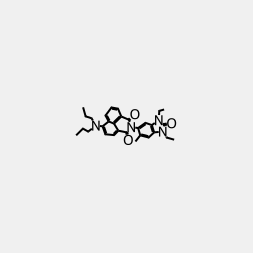 CCCN(CCC)c1ccc2c3c(cccc13)C(=O)N(c1cc3c(cc1C)n(CC)c(=O)n3CC)C2=O